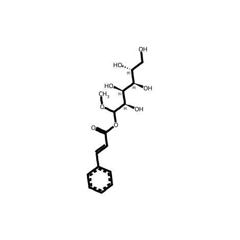 COC(OC(=O)C=Cc1ccccc1)[C@H](O)[C@@H](O)[C@H](O)[C@H](O)CO